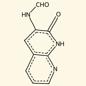 O=CNc1cc2cccnc2[nH]c1=O